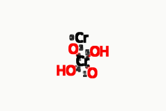 [Cr].[O]=[Cr](=[O])([OH])[OH]